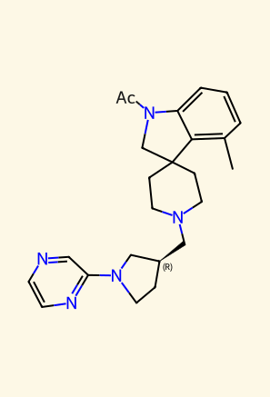 CC(=O)N1CC2(CCN(C[C@H]3CCN(c4cnccn4)C3)CC2)c2c(C)cccc21